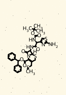 CSCC1=C(C(=O)OC(c2ccccc2)c2ccccc2)N2C(=O)C(NC(=O)C(NC(=O)OC(C)(C)C)c3csc(N)n3)[C@@H]2SC1